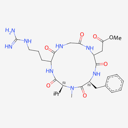 COC(=O)CC1NC(=O)CNC(=O)C(CCCNC(=N)N)NC(=O)[C@H](C(C)C)N(C)C(=O)[C@H](Cc2ccccc2)NC1=O